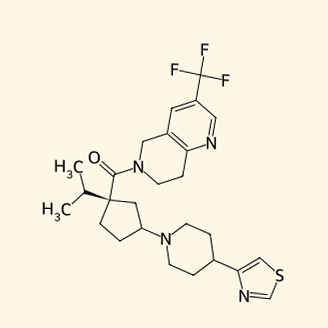 CC(C)[C@]1(C(=O)N2CCc3ncc(C(F)(F)F)cc3C2)CCC(N2CCC(c3cscn3)CC2)C1